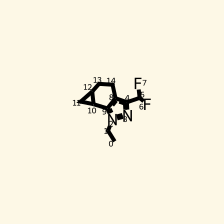 CCn1nc(C(F)F)c2c1C1CC1CC2